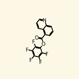 O=C(Oc1c(F)c(F)c(F)c(F)c1F)c1cccc2ncccc12